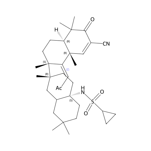 CC(=O)/C=C1/[C@@]2(C)C=C(C#N)C(=O)C(C)(C)[C@@H]2CC[C@@]1(C)[C@]1(C)CC[C@@]2(NS(=O)(=O)C3CC3)CCC(C)(C)CC2C1